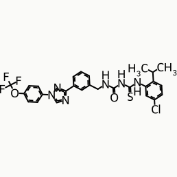 CC(C)c1ccc(Cl)cc1NC(=S)NC(=O)NCc1cccc(-c2ncn(-c3ccc(OC(F)(F)F)cc3)n2)c1